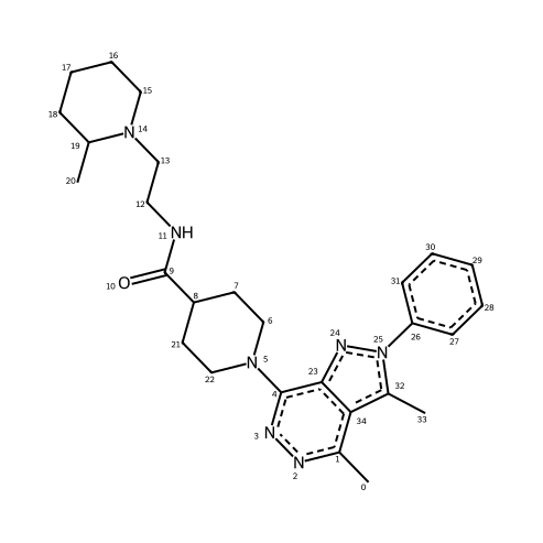 Cc1nnc(N2CCC(C(=O)NCCN3CCCCC3C)CC2)c2nn(-c3ccccc3)c(C)c12